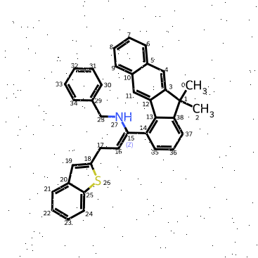 CC1(C)c2cc3ccccc3cc2-c2c(/C(=C/Cc3cc4ccccc4s3)NCc3ccccc3)cccc21